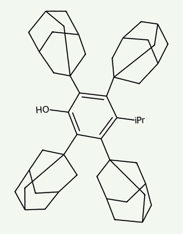 CC(C)c1c(C23CC4CC(CC(C4)C2)C3)c(C23CC4CC(CC(C4)C2)C3)c(O)c(C23CC4CC(CC(C4)C2)C3)c1C12CC3CC(CC(C3)C1)C2